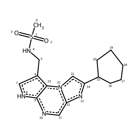 CS(=O)(=O)NCc1c[nH]c2ncc3nc(C4CCCCC4)cn3c12